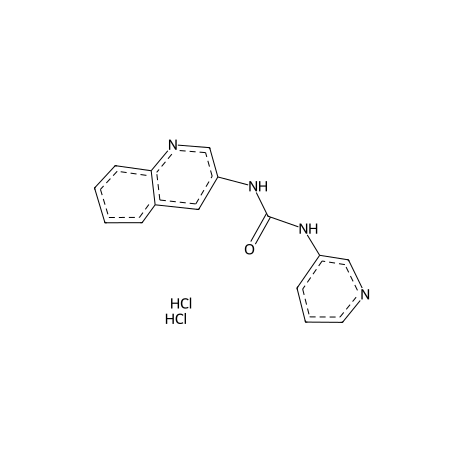 Cl.Cl.O=C(Nc1cccnc1)Nc1cnc2ccccc2c1